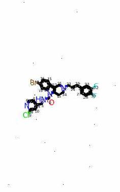 O=C(NCc1ccnc(Cl)c1)n1c2c(c3ccc(Br)cc31)CN(CC=Cc1ccc(F)c(F)c1)CC2